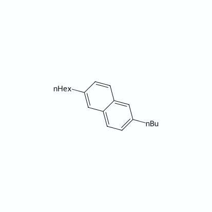 CCCCCCc1ccc2cc(CCCC)ccc2c1